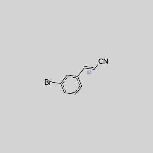 N#C/C=C/c1cccc(Br)c1